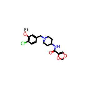 CCOc1cc(CN2CCC(NC(=O)C3=COCO3)CC2)ccc1Cl